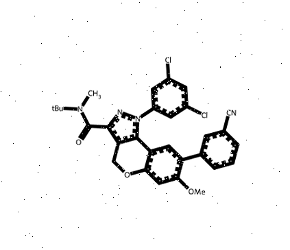 COc1cc2c(cc1-c1cccc(C#N)c1)-c1c(c(C(=O)N(C)C(C)(C)C)nn1-c1cc(Cl)cc(Cl)c1)CO2